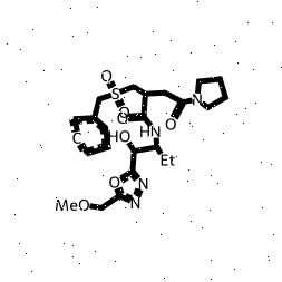 CCC(NC(=O)C(CC(=O)N1CCCC1)CS(=O)(=O)Cc1ccccc1)C(O)c1nnc(COC)o1